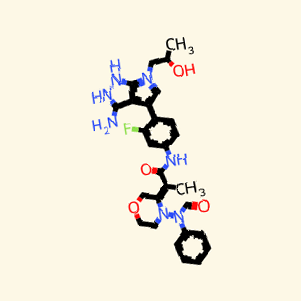 C/C(C(=O)Nc1ccc(-c2cn(CC(C)O)c3c2C(N)NN3)c(F)c1)=C1/COCCN1N(C=O)c1ccccc1